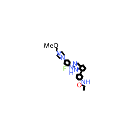 C=CC(=O)Nc1cccc(-c2cccc3cnc(Nc4ccc(N5CCN(CCOC)CC5)cc4F)nc23)c1